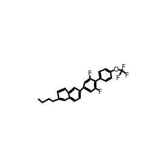 CCCCc1ccc2cc(-c3cc(F)c(-c4ccc(OC(F)(F)F)cc4)c(F)c3)ccc2c1